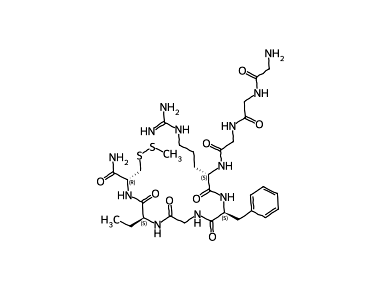 CC[C@H](NC(=O)CNC(=O)[C@H](Cc1ccccc1)NC(=O)[C@H](CCCNC(=N)N)NC(=O)CNC(=O)CNC(=O)CN)C(=O)N[C@@H](CSSC)C(N)=O